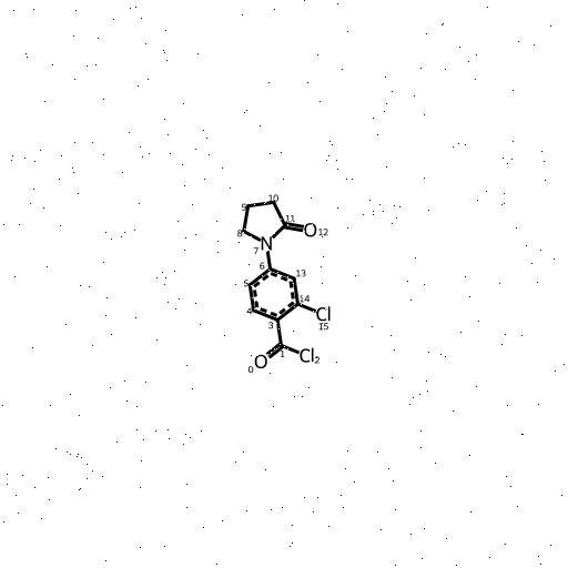 O=C(Cl)c1ccc(N2CCCC2=O)cc1Cl